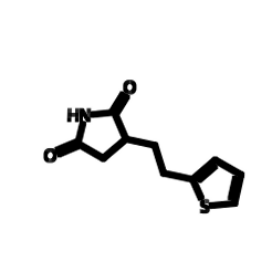 O=C1CC(CCc2cccs2)C(=O)N1